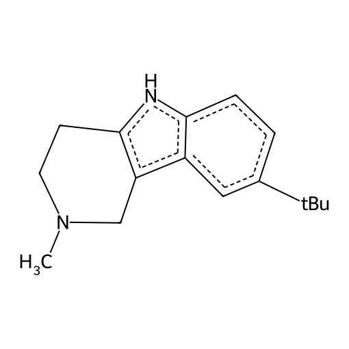 CN1CCc2[nH]c3ccc(C(C)(C)C)cc3c2C1